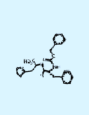 O=C(N[C@@H](Cc1ccccc1)C(=O)N[C@@H](Cc1cccs1)C(=O)O)OCc1ccccc1